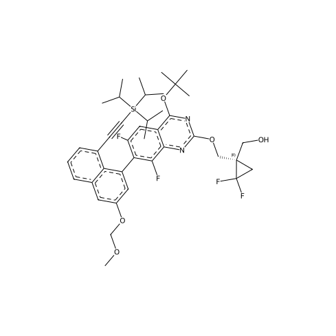 COCOc1cc(-c2c(F)cc3c(OC(C)(C)C)nc(OC[C@]4(CO)CC4(F)F)nc3c2F)c2c(C#C[Si](C(C)C)(C(C)C)C(C)C)cccc2c1